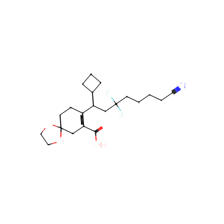 N#CCCCCC(F)(F)CC(C1=C(C(=O)O)CC2(CC1)OCCO2)C1CCC1